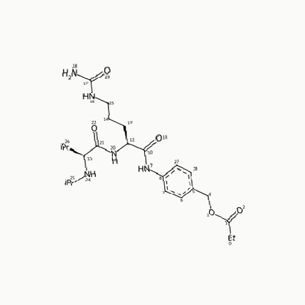 CCC(=O)OCc1ccc(NC(=O)[C@H](CCCNC(N)=O)NC(=O)[C@@H](NC(C)C)C(C)C)cc1